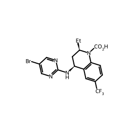 CC[C@@H]1C[C@H](Nc2ncc(Br)cn2)c2cc(C(F)(F)F)ccc2N1C(=O)O